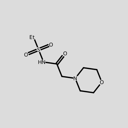 CCS(=O)(=O)NC(=O)CN1CCOCC1